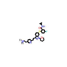 CCN(CC)CCc1ccc(/C=C/c2nn(C3CCCCO3)c3cc(Sc4ccc(F)cc4C(=O)NC4CC4)ccc23)nc1